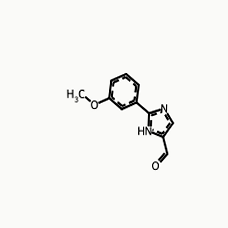 COc1cccc(-c2ncc(C=O)[nH]2)c1